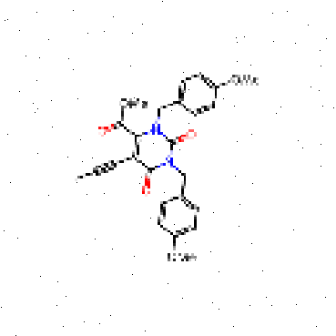 CC#Cc1c(C(=O)OC)n(Cc2ccc(OC)cc2)c(=O)n(Cc2ccc(OC)cc2)c1=O